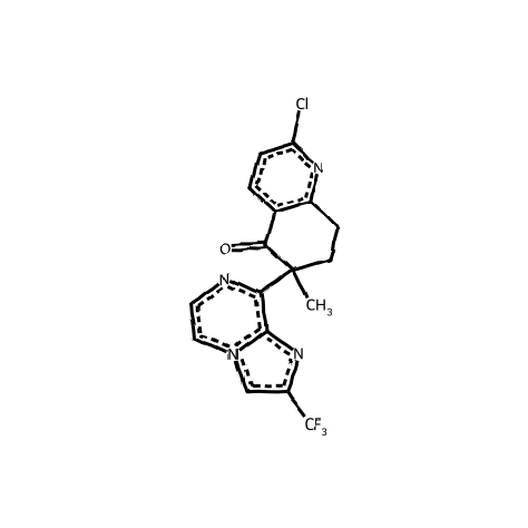 CC1(c2nccn3cc(C(F)(F)F)nc23)CCc2nc(Cl)ccc2C1=O